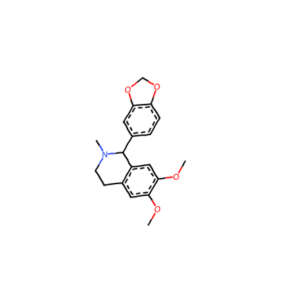 COc1cc2c(cc1OC)C(c1ccc3c(c1)OCO3)N(C)CC2